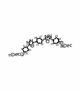 CCCCCCCCCCOc1ccc(-c2nnc(-c3ccc(-c4nnc(-c5ccc(OCCCCCCCCCC)cc5)o4)cc3)o2)cc1